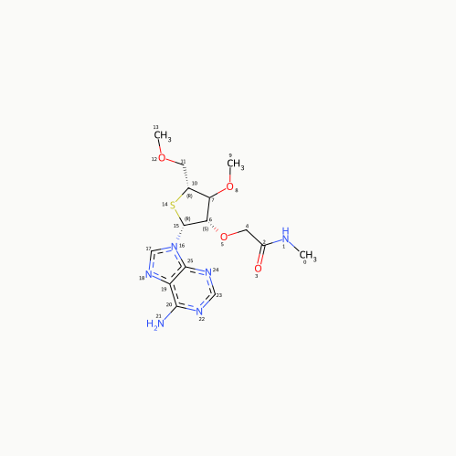 CNC(=O)CO[C@H]1C(OC)[C@@H](COC)S[C@H]1n1cnc2c(N)ncnc21